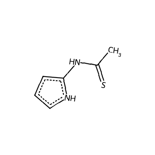 CC(=S)Nc1ccc[nH]1